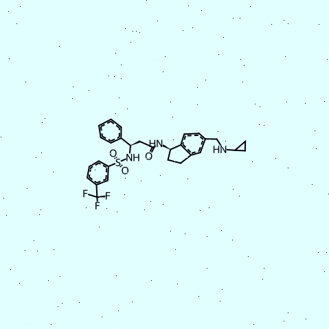 O=C(C[C@@H](NS(=O)(=O)c1cccc(C(F)(F)F)c1)c1ccccc1)N[C@@H]1CCc2cc(CNC3CC3)ccc21